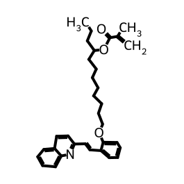 C=C(C)C(=O)OC(CCC)CCCCCCCCOc1ccccc1C=Cc1ccc2ccccc2n1